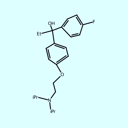 CCC(O)(c1ccc(F)cc1)c1ccc(OCCN(C(C)C)C(C)C)cc1